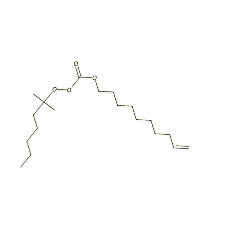 C=CCCCCCCCCOC(=O)OOC(C)(C)CCCCC